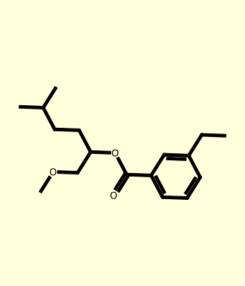 CCc1cccc(C(=O)OC(CCC(C)C)COC)c1